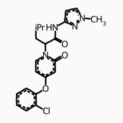 CC(C)CC(C(=O)Nc1ccn(C)n1)n1ccc(Oc2ccccc2Cl)cc1=O